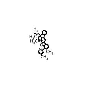 Cc1ccnc(-c2c(C)ccc3c2oc2nc4c(cc23)-c2ccccc2C4(CC(C)C)CC(C)C)c1